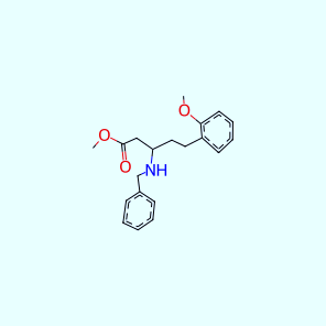 COC(=O)CC(CCc1ccccc1OC)NCc1ccccc1